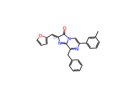 Cc1cccc(C2=CN3C(=O)/C(=C/c4ccco4)N=C3C(Cc3ccccc3)=N2)c1